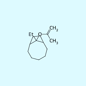 C=C(C)OC1(CC)C2CCCCCC1CC2